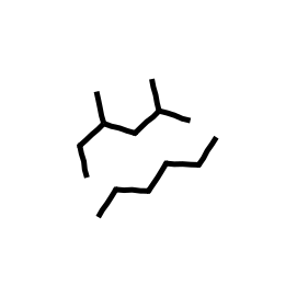 CCC(C)CC(C)C.CCCCCC